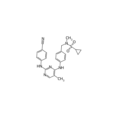 Cc1cnc(Nc2ccc(C#N)cc2)nc1Nc1ccc(CN(C)S(=O)(=O)C2CC2)cc1